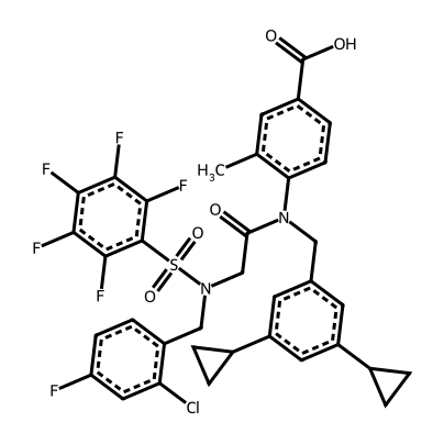 Cc1cc(C(=O)O)ccc1N(Cc1cc(C2CC2)cc(C2CC2)c1)C(=O)CN(Cc1ccc(F)cc1Cl)S(=O)(=O)c1c(F)c(F)c(F)c(F)c1F